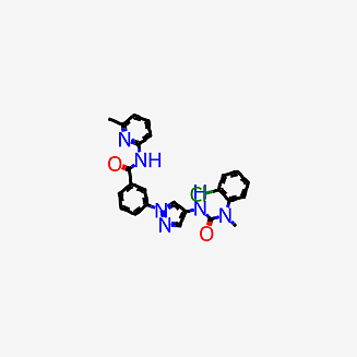 Cc1cccc(NC(=O)c2cccc(-n3cc(NC(=O)N(C)c4ccccc4Cl)cn3)c2)n1